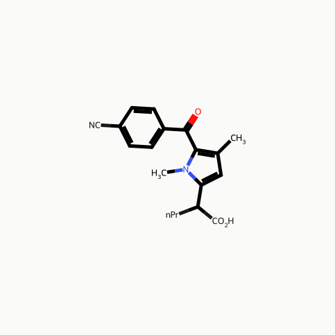 CCCC(C(=O)O)c1cc(C)c(C(=O)c2ccc(C#N)cc2)n1C